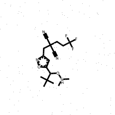 C[SiH](C)OC(c1cc(CC(C#N)(C#N)CCC(F)(F)F)no1)C(C)(C)C